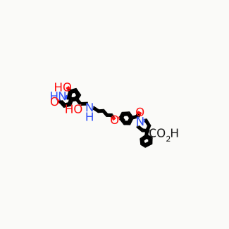 O=C(c1ccc(OCCCCCNCC(O)c2ccc(O)c3[nH]c(=O)ccc23)cc1)N1CCC(C(=O)O)(c2ccccc2)CC1